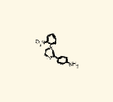 Nc1ccc(C2=CN(c3ccccc3[N+](=O)[O-])CC=N2)cc1